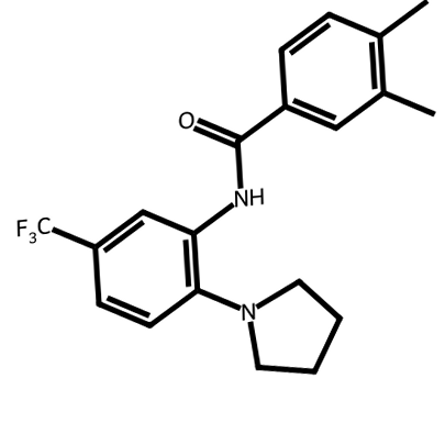 Cc1ccc(C(=O)Nc2cc(C(F)(F)F)ccc2N2CCCC2)cc1C